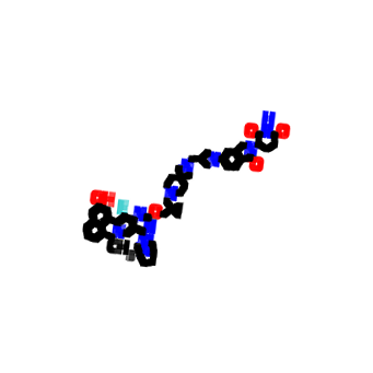 CCc1cccc2cc(O)cc(-c3ncc4c(N5CC6CCC(C5)N6)nc(OCC5(CN6CCC7(CC6)CN(CC6CN(c8ccc9c(c8)CN(C8CCC(=O)NC8=O)C9=O)C6)C7)CC5)nc4c3F)c12